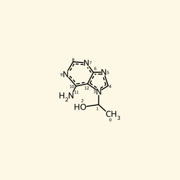 CC(O)n1cnc2ncnc(N)c21